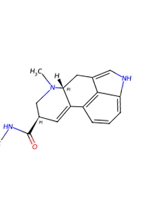 CCNC(=O)[C@@H]1C=C2c3cccc4[nH]cc(c34)C[C@H]2N(C)C1